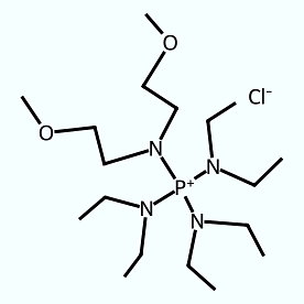 CCN(CC)[P+](N(CC)CC)(N(CC)CC)N(CCOC)CCOC.[Cl-]